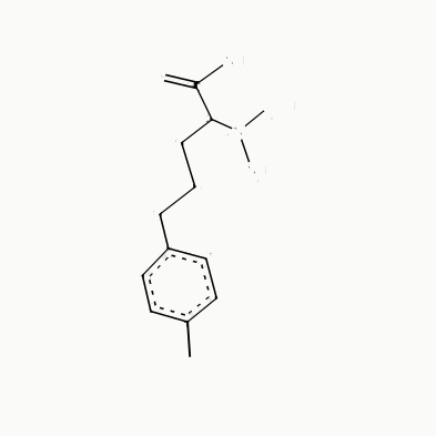 NC(=O)C(CCCc1ccc(Cl)cc1)N(N)C(=O)O